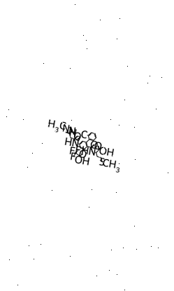 CSCCC(NC(=O)c1ccc(NC(=O)Cc2cn(C)cn2)cc1-c1ccccc1C)C(=O)O.O=C(O)C(F)(F)F